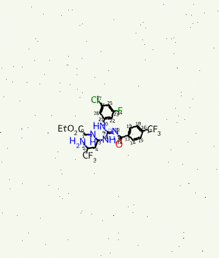 CCOC(=O)CNC(CC(N)C(F)(F)F)N/C(=N\C(=O)c1ccc(C(F)(F)F)cc1)Nc1cc(F)cc(Cl)c1